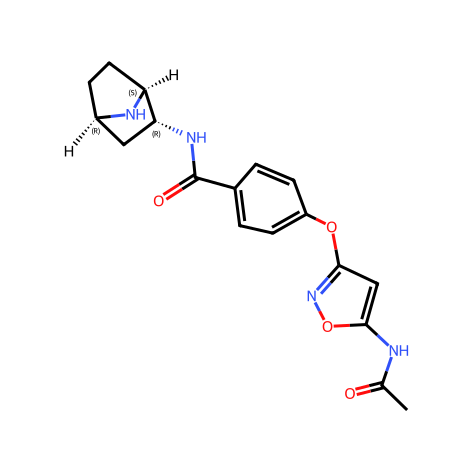 CC(=O)Nc1cc(Oc2ccc(C(=O)N[C@@H]3C[C@H]4CC[C@@H]3N4)cc2)no1